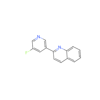 Fc1cncc(-c2ccc3ccccc3n2)c1